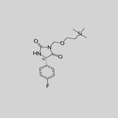 C[Si](C)(C)CCOCN1C(=O)N[C@@H](c2ccc(F)cc2)C1=O